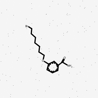 NC(=O)c1cccc(OCCCCCCCBr)c1